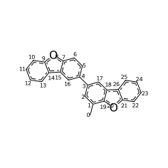 Cc1cc(-c2ccc3oc4ccccc4c3c2)cc2c1oc1ccccc12